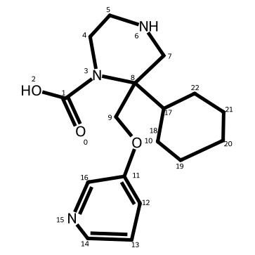 O=C(O)N1CCNCC1(COc1cccnc1)C1CCCCC1